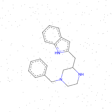 c1ccc(CN2CCNC(Cc3cc4ccccc4[nH]3)C2)cc1